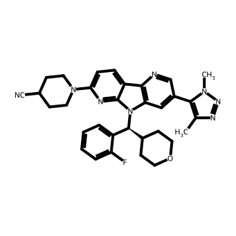 Cc1nnn(C)c1-c1cnc2c3ccc(N4CCC(C#N)CC4)nc3n([C@H](c3ccccc3F)C3CCOCC3)c2c1